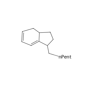 CCCCCCC1CCC2CC=CC=C21